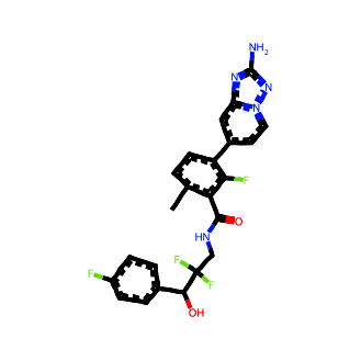 Cc1ccc(-c2ccn3nc(N)nc3c2)c(F)c1C(=O)NCC(F)(F)C(O)c1ccc(F)cc1